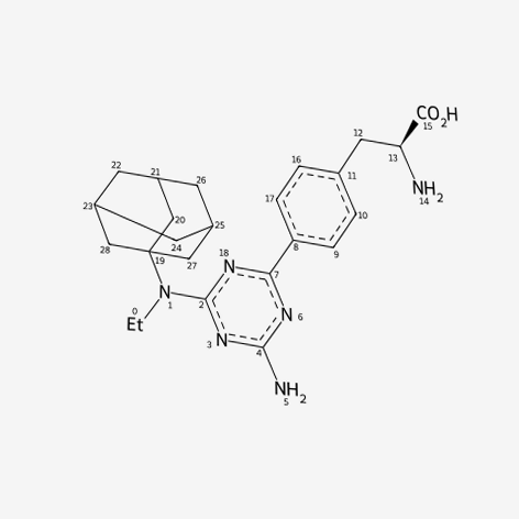 CCN(c1nc(N)nc(-c2ccc(C[C@H](N)C(=O)O)cc2)n1)C12CC3CC(CC(C3)C1)C2